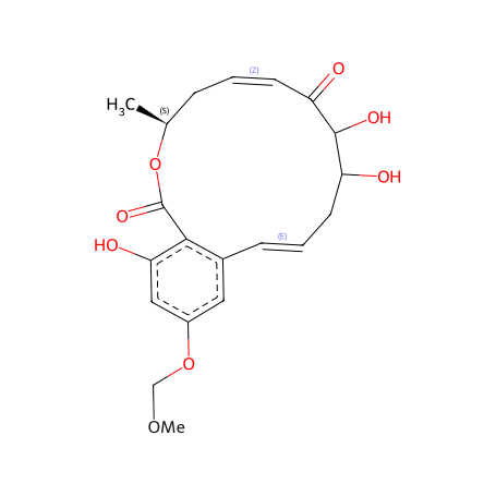 COCOc1cc(O)c2c(c1)/C=C/CC(O)C(O)C(=O)/C=C\C[C@H](C)OC2=O